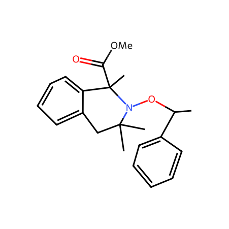 COC(=O)C1(C)c2ccccc2CC(C)(C)N1OC(C)c1ccccc1